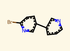 Brc1ccc(-c2cccnc2)cn1